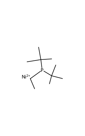 CCP(C(C)(C)C)C(C)(C)C.[Ni+2]